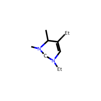 CCC1=CN(CC)CN(C)C1C